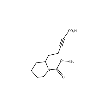 CC(C)(C)OC(=O)N1CCCCC1CCC#CC(=O)O